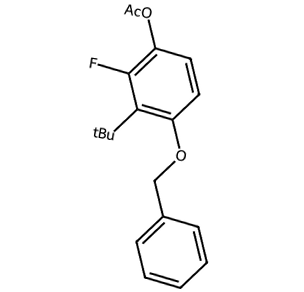 CC(=O)Oc1ccc(OCc2ccccc2)c(C(C)(C)C)c1F